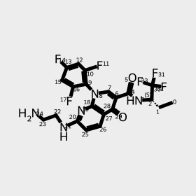 CC[C@H](NC(=O)c1cn(-c2c(F)cc(F)cc2F)c2nc(NCCN)ccc2c1=O)C(F)(F)F